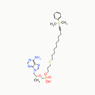 C[C@H](Cn1cnc2c(N)ncnc21)OCP(=O)(O)OCCCSCCCCCCCCCC#CS(C)(C)c1ccccc1